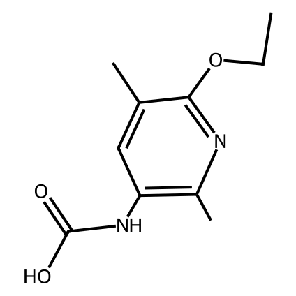 CCOc1nc(C)c(NC(=O)O)cc1C